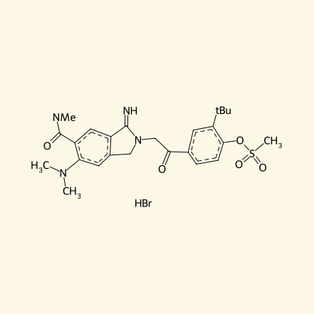 Br.CNC(=O)c1cc2c(cc1N(C)C)CN(CC(=O)c1ccc(OS(C)(=O)=O)c(C(C)(C)C)c1)C2=N